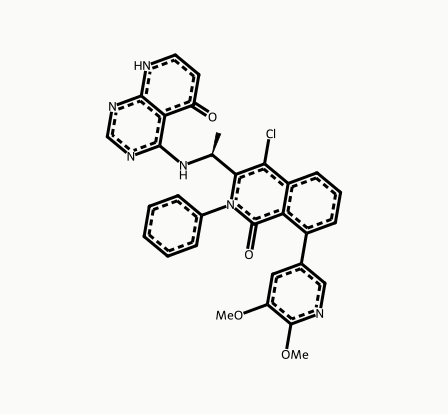 COc1cc(-c2cccc3c(Cl)c([C@H](C)Nc4ncnc5[nH]ccc(=O)c45)n(-c4ccccc4)c(=O)c23)cnc1OC